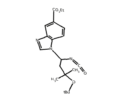 CCOC(=O)c1ccc2c(c1)ncn2C(CC(C)(C)OC(C)(C)C)N=C=O